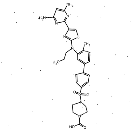 CCCN(c1nc(-c2nc(N)cc(N)n2)cs1)c1cc(-c2ccc(S(=O)(=O)N3CCN(C(=O)O)CC3)cc2)ccc1C